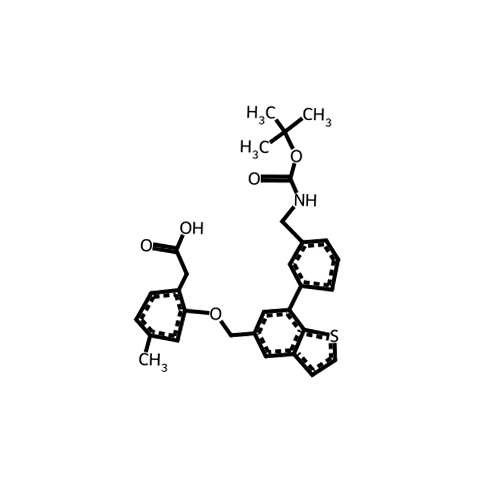 Cc1ccc(CC(=O)O)c(OCc2cc(-c3cccc(CNC(=O)OC(C)(C)C)c3)c3sccc3c2)c1